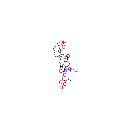 CCCO[C@H]1CC[C@@]2(C)[C@@H](CC[C@]3(C)[C@@H]2C(=O)C=C2[C@@H]4C[C@@](C)(C(=O)O)CC[C@]4(C)CC[C@]23C)[C@]1(C)NC(=O)OCc1oc(=O)oc1C(C)C